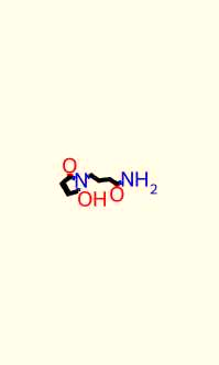 NC(=O)CCCN1C(=O)C=CC1O